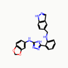 c1ccc(-c2nnc(Nc3ccc4c(c3)OCO4)[nH]2)c(NCc2ccc3[nH]ncc3c2)c1